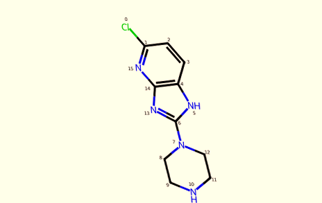 Clc1ccc2[nH]c(N3CCNCC3)nc2n1